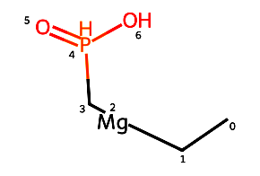 C[CH2][Mg][CH2][PH](=O)O